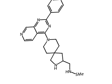 CSNCC1CC2(CCN(c3nc(-c4ccncc4)nc4cnccc34)CC2)CN1